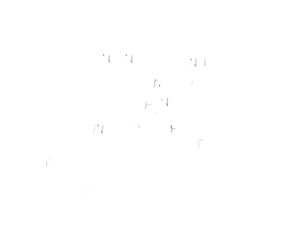 N[C@@H]1[C@H](Nc2ccn3ncc(C(=O)Nc4ccsc4Cl)c3n2)CCCC1(F)F